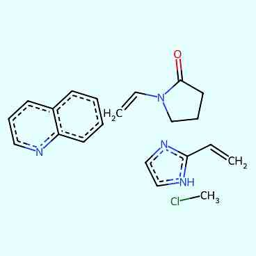 C=CN1CCCC1=O.C=Cc1ncc[nH]1.CCl.c1ccc2ncccc2c1